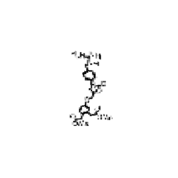 COC(=O)Cc1ccc(OCC2CN(c3ccc(CNC(=N)N)cc3)C(=O)O2)cc1CC(=O)OC